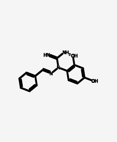 N=C(N)N(N=Cc1ccccc1)c1ccc(O)cc1O